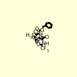 CCC12[C@H](NC(=O)C(F)(F)F)C(=O)N1[C@@H](C(=O)OCc1ccccc1)C(C)(C)S2(=O)=O